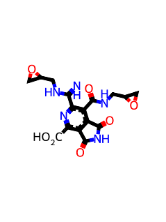 N=C(NCC1CO1)c1nc(C(=O)O)c2c(c1C(=O)NCC1CO1)C(=O)NC2=O